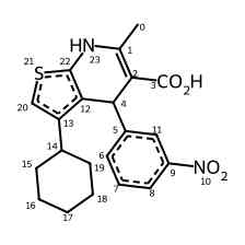 CC1=C(C(=O)O)C(c2cccc([N+](=O)[O-])c2)c2c(C3CCCCC3)csc2N1